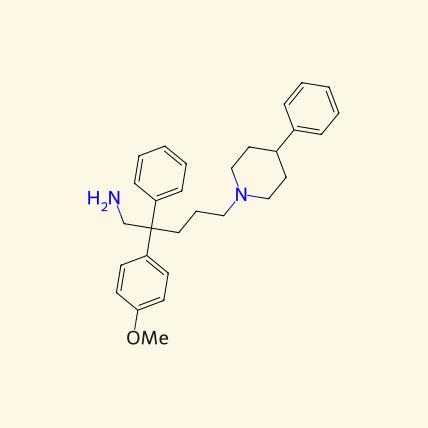 COc1ccc(C(CN)(CCCN2CCC(c3ccccc3)CC2)c2ccccc2)cc1